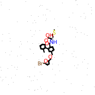 CSCC[C@H](NC(=O)c1ccc(COCc2ccc(Br)o2)cc1-c1ccccc1C)C(=O)O